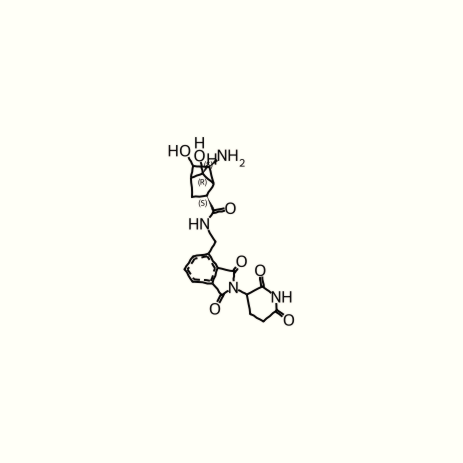 N[C@@H]1C(O)C2C[C@H](C(=O)NCc3cccc4c3C(=O)N(C3CCC(=O)NC3=O)C4=O)C1[C@H]2O